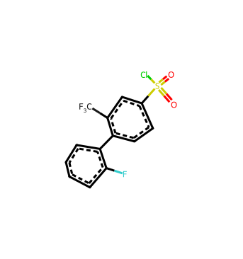 O=S(=O)(Cl)c1ccc(-c2ccccc2F)c(C(F)(F)F)c1